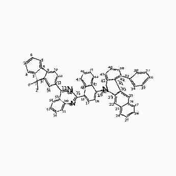 CC1(C)c2ccccc2-c2ccc(-c3nc(-c4ccc(-n5c6cc7ccccc7cc6c6c(-c7ccccc7)cccc65)c5ccccc45)nc4ccccc34)cc21